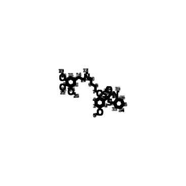 COc1ccc(OCCCCN(C)CCc2cc(OC)c(OC)c(OC)c2)c(C2(SC)Sc3ccccc3N(C)C2=O)c1